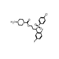 CN1CCN(C(=O)OCCC(c2cc(F)ccc2F)S(=O)(=O)c2ccc(Cl)cc2)CC1